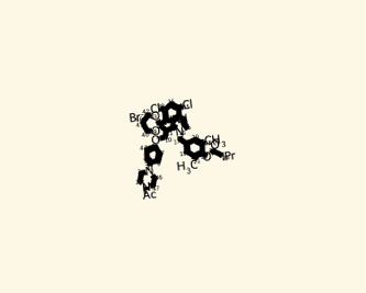 CC(=O)N1CCN(c2ccc(OCC(c3[nH]cc[n+]3Cc3cc(C)c(OC(=O)C(C)C)c(C)c3)C3(c4ccc(Cl)cc4Cl)OCCCO3)cc2)CC1.[Br-]